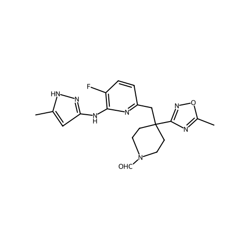 Cc1cc(Nc2nc(CC3(c4noc(C)n4)CCN(C=O)CC3)ccc2F)n[nH]1